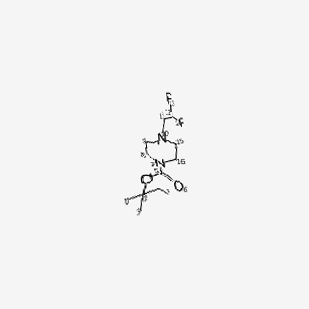 CC(C)(C)OC(=O)N1CCN(CC(F)F)CC1